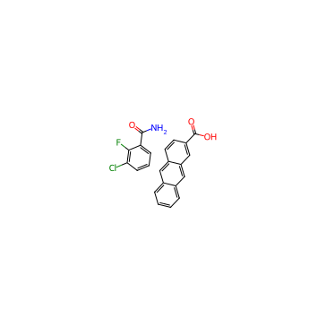 NC(=O)c1cccc(Cl)c1F.O=C(O)c1ccc2cc3ccccc3cc2c1